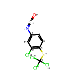 O=C=Nc1ccc(SC(Cl)(Cl)Cl)c(Cl)c1